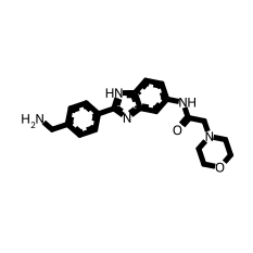 NCc1ccc(-c2nc3cc(NC(=O)CN4CCOCC4)ccc3[nH]2)cc1